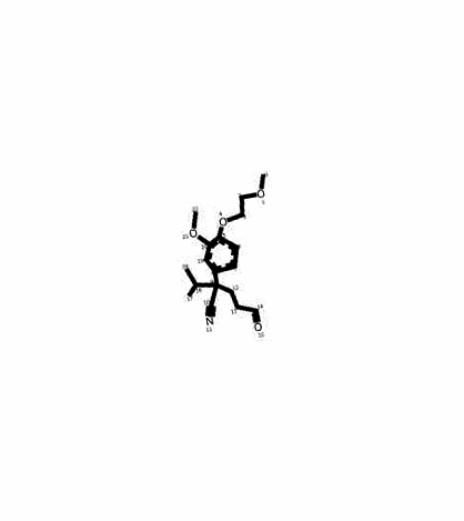 COCCOc1ccc(C(C#N)(CCC=O)C(C)C)cc1OC